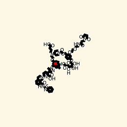 Cc1c(-c2ccc(N3CCc4cccc(C(=O)Nc5nc6ccccc6s5)c4C3)nc2C(=O)O)cnn1CC12CC3(C)CC(C)(C1)CC(OCCN(CCCC(=O)O)C1CCN(C(=O)OCc4ccc(O[C@@H]5O[C@H](C(=O)O)[C@@H](O)[C@H](O)[C@H]5O)cc4OCCOCCNC(=O)CCN4C(=O)C=CC4=O)CC1)(C3)C2